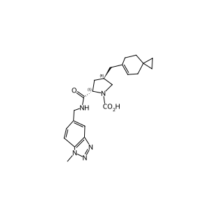 Cn1nnc2cc(CNC(=O)[C@@H]3C[C@@H](CC4=CCC5(CC4)CC5)CN3C(=O)O)ccc21